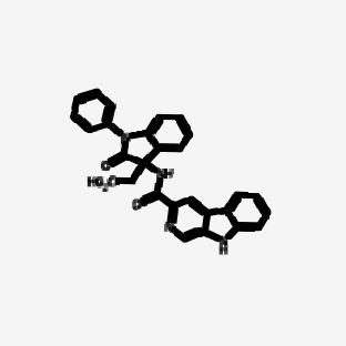 O=C(O)CC1(NC(=O)c2cc3c(cn2)[nH]c2ccccc23)C(=O)N(c2ccccc2)c2ccccc21